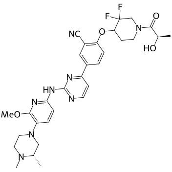 COc1nc(Nc2nccc(-c3ccc(OC4CCN(C(=O)[C@@H](C)O)CC4(F)F)c(C#N)c3)n2)ccc1N1CCN(C)[C@@H](C)C1